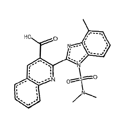 Cc1cccc2c1nc(-c1nc3ccccc3cc1C(=O)O)n2S(=O)(=O)N(C)C